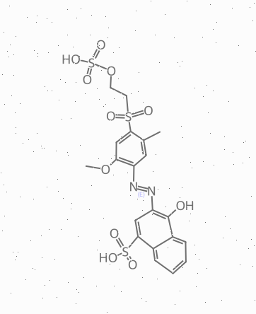 COc1cc(S(=O)(=O)CCOS(=O)(=O)O)c(C)cc1/N=N/c1cc(S(=O)(=O)O)c2ccccc2c1O